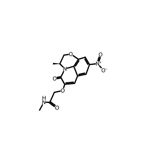 CNC(=O)COc1cc2cc([N+](=O)[O-])cc3c2n(c1=O)[C@@H](C)CO3